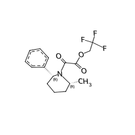 C[C@@H]1CCC[C@H](c2ccccc2)N1C(=O)C(=O)OCC(F)(F)F